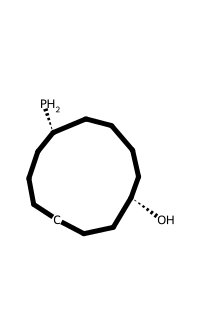 O[C@@H]1CCCCCC[C@H](P)CCCC1